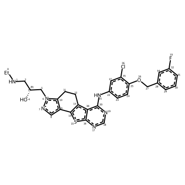 CCNC[C@@H](O)Cn1ncc2c1CCc1c-2sc2ncnc(Nc3ccc(OCc4cccc(F)c4)c(Cl)c3)c12